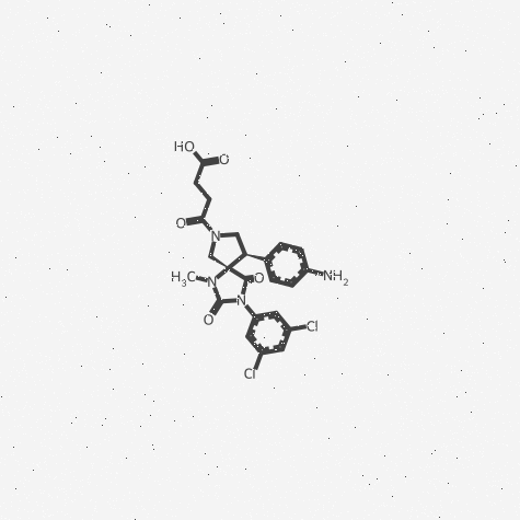 CN1C(=O)N(c2cc(Cl)cc(Cl)c2)C(=O)[C@]12CN(C(=O)CCC(=O)O)C[C@H]2c1ccc(N)cc1